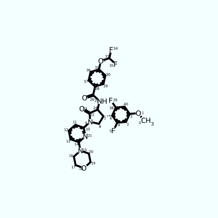 COc1cc(F)c([C@@H]2CN(c3cccc(N4CCOCC4)n3)C(=O)C2NC(=O)c2ccc(OC(F)F)cc2)c(F)c1